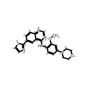 COc1cc(N2CCOCC2)ccc1Nc1ncnc2ccc(-c3nccs3)cc12